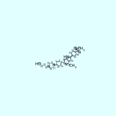 Cc1nc(-c2ccc(N3CCN(CCCO)CC3)cc2)cc2[nH]c(-c3ccc(S(C)(=O)=O)cc3)cc12